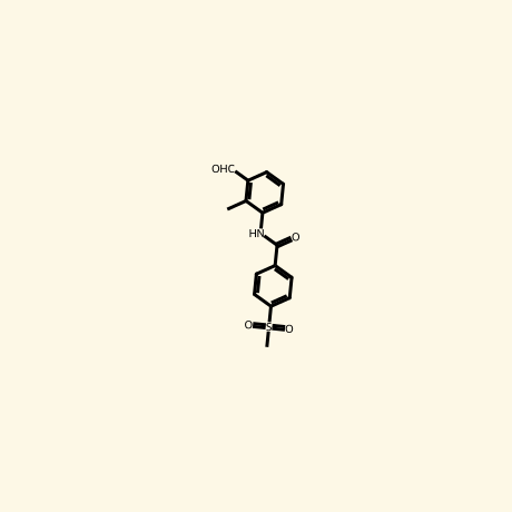 Cc1c(C=O)cccc1NC(=O)c1ccc(S(C)(=O)=O)cc1